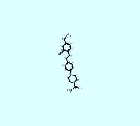 CC(=O)N1CCN(c2ccc(CCc3ccc(CO)cc3F)nc2)CC1